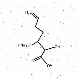 C=CCCC(O)C(O)C(=O)O.[NaH]